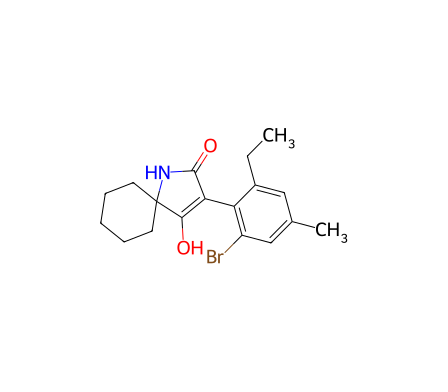 CCc1cc(C)cc(Br)c1C1=C(O)C2(CCCCC2)NC1=O